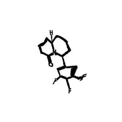 O=C1CC=C[C@H]2CCC[C@@H](c3cc(F)c(F)c(F)c3)N12